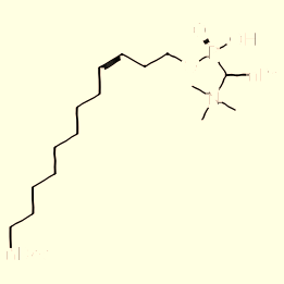 CCCCCCCCCCCCCCCCCC/C=C\CCOP(=O)(O)C(CCC)[N+](C)(C)C